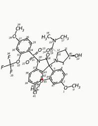 COc1ccc(C2(N3C[C@H](O)C[C@H]3C(=O)N(C)C)C(=O)N(S(=O)(=O)c3ccc(OC)cc3OC(F)(F)F)c3ccc(Cl)cc32)c(OC)c1